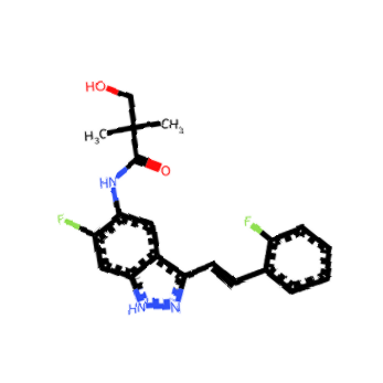 CC(C)(CO)C(=O)Nc1cc2c(C=Cc3ccccc3F)n[nH]c2cc1F